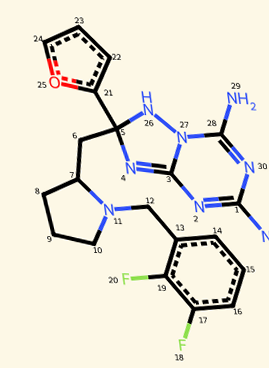 NC1=NC2=NC(CC3CCCN3Cc3cccc(F)c3F)(c3ccco3)NN2C(N)=N1